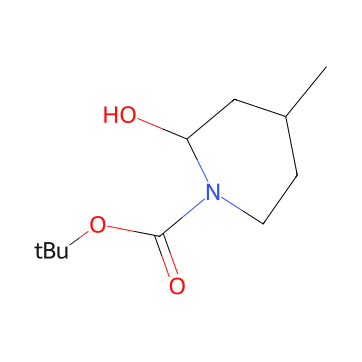 CC1CCN(C(=O)OC(C)(C)C)C(O)C1